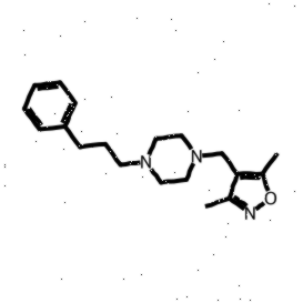 Cc1noc(C)c1CN1CCN(CCCc2ccccc2)CC1